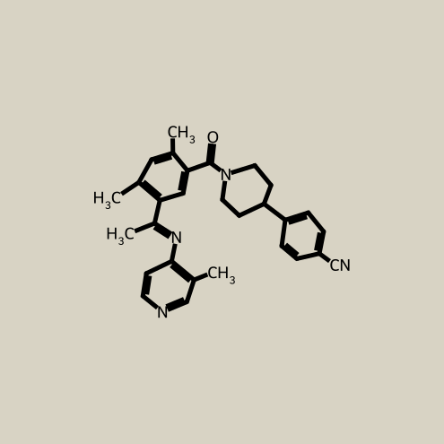 C/C(=N\c1ccncc1C)c1cc(C(=O)N2CCC(c3ccc(C#N)cc3)CC2)c(C)cc1C